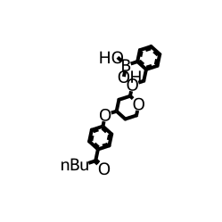 CCCCC(=O)c1ccc(OC2CCOC(OCc3ccccc3B(O)O)C2)cc1